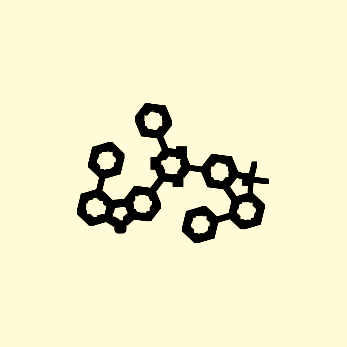 C[Si]1(C)c2ccc(-c3nc(-c4ccccc4)nc(-c4ccc5oc6cccc(-c7ccccc7)c6c5c4)n3)cc2-c2c(-c3ccccc3)cccc21